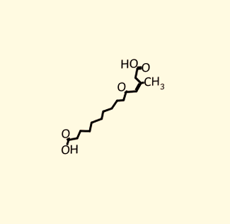 CC(=CC(=O)CCCCCCCCCC(=O)O)CC(=O)O